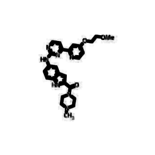 COCCOc1ccnc(-c2ccnc(Nc3ccc4[nH]c(C(=O)N5CCN(C)CC5)cc4c3)n2)c1